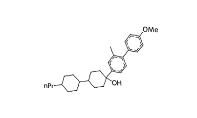 CCCC1CCC(C2CCC(O)(c3ccc(-c4ccc(OC)cc4)c(C)c3)CC2)CC1